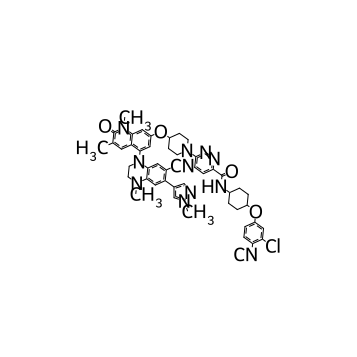 Cc1cc2c(N3CCN(C)c4cc(-c5cnn(C)c5)c(C#N)cc43)cc(OC3CCN(c4ccc(C(=O)NC5CCC(Oc6ccc(C#N)c(Cl)c6)CC5)nn4)CC3)cc2n(C)c1=O